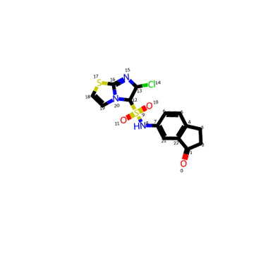 O=C1CCc2ccc(NS(=O)(=O)C3C(Cl)N=C4SC=CN43)cc21